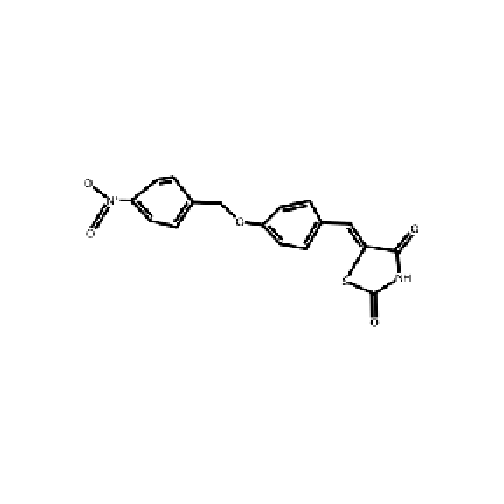 O=C1NC(=O)C(=Cc2ccc(OCc3ccc([N+](=O)[O-])cc3)cc2)S1